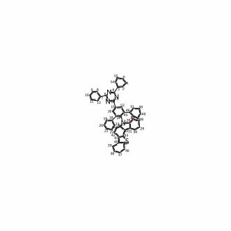 c1ccc(-c2nc(-c3ccccc3)nc(-c3cc(-c4ccccc4)c(-n4c5ccccc5c5c6sc7ccccc7c6ccc54)c(-c4ccccc4)c3)n2)cc1